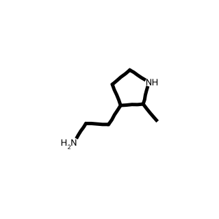 CC1NCCC1CCN